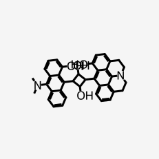 CN(C)c1c2ccccc2c(C2C(O)C(c3c4cccc5c4c4c6c(ccc(O)c36)CCN4CC5)C2O)c2c(O)cccc12